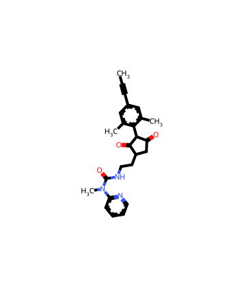 CC#Cc1cc(C)c(C2C(=O)CC(CCNC(=O)N(C)c3ccccn3)C2=O)c(C)c1